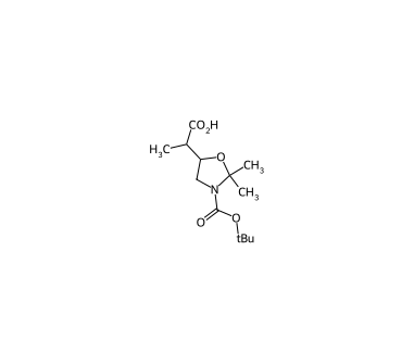 CC(C(=O)O)C1CN(C(=O)OC(C)(C)C)C(C)(C)O1